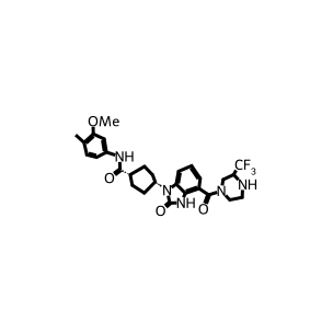 COc1cc(NC(=O)[C@H]2CC[C@@H](n3c(=O)[nH]c4c(C(=O)N5CCNC(C(F)(F)F)C5)cccc43)CC2)ccc1C